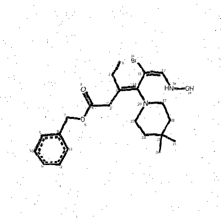 CC/C(CC(=O)OCc1ccccc1)=C(\C(Br)=C/NO)N1CCC(C)(C)CC1